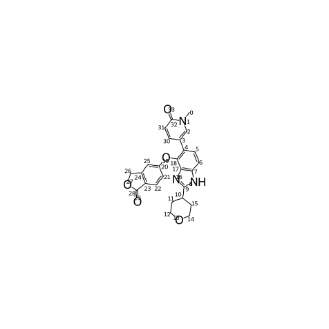 Cn1cc(-c2ccc3[nH]c(C4CCOCC4)nc3c2Oc2ccc3c(c2)COC3=O)ccc1=O